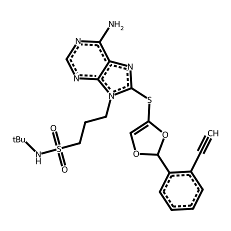 C#Cc1ccccc1C1OC=C(Sc2nc3c(N)ncnc3n2CCCS(=O)(=O)NC(C)(C)C)O1